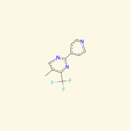 Cc1cnc(-c2ccncc2)nc1C(F)(F)F